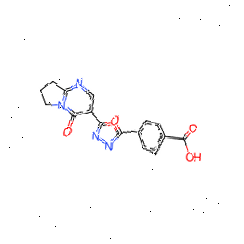 O=C(O)c1ccc(-c2nnc(-c3cnc4n(c3=O)CCC4)o2)cc1